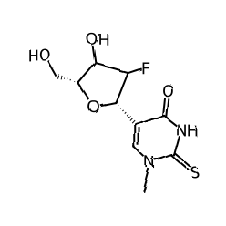 Cn1cc([C@@H]2O[C@H](CO)C(O)C2F)c(=O)[nH]c1=S